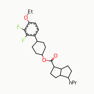 CCCC1CCC2C(C(=O)OC3CCC(c4ccc(OCC)c(F)c4F)CC3)CCC12